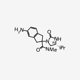 CNC(=O)C1(N2C[C@@H](C(C)C)NC2=O)Cc2ccc(N)cc2C1